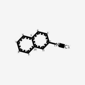 [C-]#[N+]c1ccc2ccccc2c1